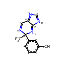 N#Cc1cccc(C2(C(F)(F)F)N=CC3=NC=NC3=N2)c1